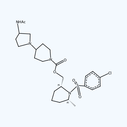 CC(=O)NC1CCN(C2CCN(C(=O)OC[C@H]3CCC[C@@H](C)N3S(=O)(=O)c3ccc(Cl)cc3)CC2)C1